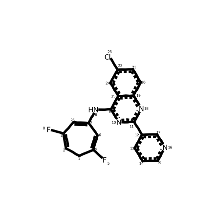 FC1=CCC(F)=CC(Nc2nc(-c3cccnc3)nc3ccc(Cl)cc23)=C1